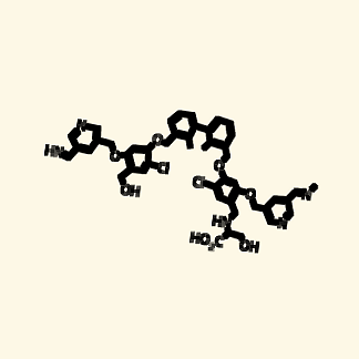 C/N=C/c1cncc(COc2cc(OCc3cccc(-c4cccc(COc5cc(OCc6cncc(C=N)c6)c(CO)cc5Cl)c4C)c3C)c(Cl)cc2CNC(CO)C(=O)O)c1